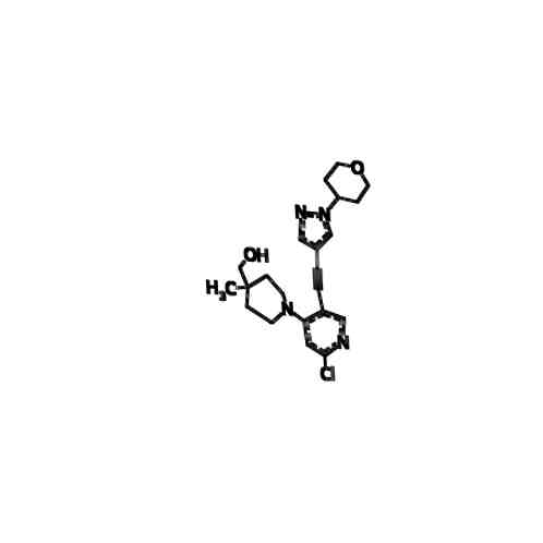 CC1(CO)CCN(c2cc(Cl)ncc2C#Cc2cnn(C3CCOCC3)c2)CC1